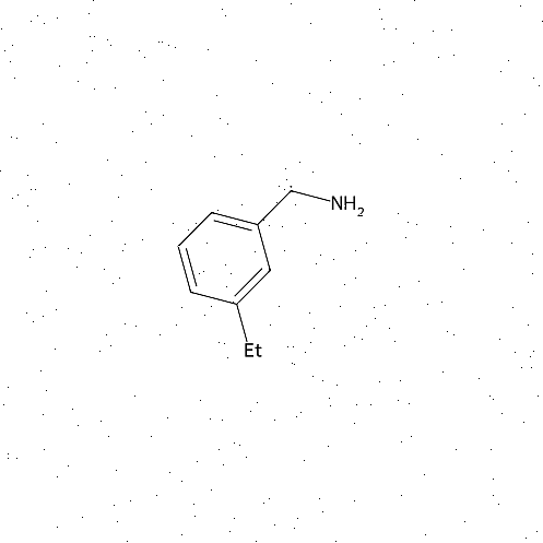 CCc1cccc([CH]N)c1